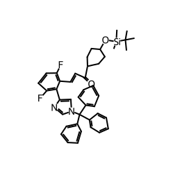 CC(C)(C)[Si](C)(C)OC1CCC(C(=O)/C=C/c2c(F)ccc(F)c2-c2cn(C(c3ccccc3)(c3ccccc3)c3ccccc3)cn2)CC1